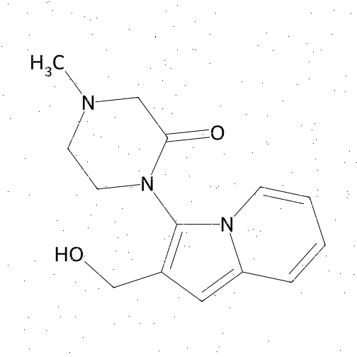 CN1CCN(c2c(CO)cc3ccccn23)C(=O)C1